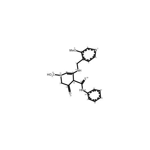 COc1cnccc1CNC1=CN(C(=O)O)CC(=O)C1C(=S)Nc1ccccc1